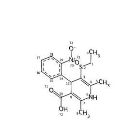 CCSC1=C(C)NC(C)=C(C(=O)O)C1c1ccccc1[N+](=O)[O-]